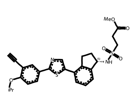 C#Cc1cc(-c2ncc(-c3cccc4c3CC[C@@H]4NS(=O)(=O)CCC(=O)OC)s2)ccc1OC(C)C